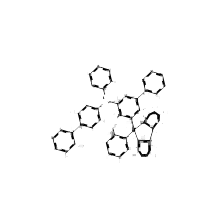 c1ccc(-c2ccc(N(c3ccccc3)c3cc(-c4ccccc4)cc4c3Oc3ccccc3C43c4ccccc4-c4ccccc43)cc2)cc1